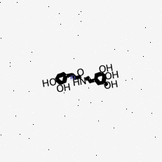 O=C(/C=C/c1ccc(O)c(O)c1)NCCc1cc(O)c(O)c(O)c1